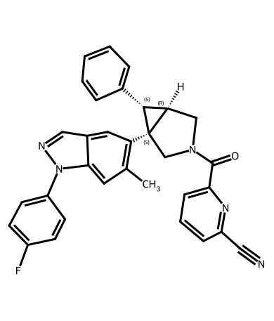 Cc1cc2c(cnn2-c2ccc(F)cc2)cc1[C@@]12CN(C(=O)c3cccc(C#N)n3)C[C@@H]1[C@H]2c1ccccc1